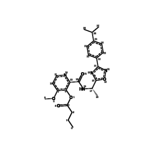 CCCC(=O)Oc1c(OC)ccnc1C(=O)N[C@@H](C)c1nc(-c2ccc(C(C)C)cc2)no1